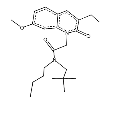 CCCCN(CC(C)(C)C)C(=O)Cn1c(=O)c(CC)cc2ccc(OC)cc21